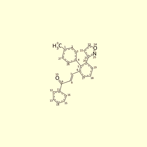 Cc1ccc(-c2c(C=CC(=O)c3ccccc3)cccc2-c2ccon2)cc1